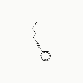 ClCCCC#Cc1ccccc1